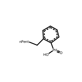 CCCCCCc1ccccc1[PH](=O)O